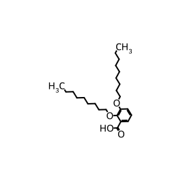 CCCCCCCCCOc1cccc(C(=O)O)c1OCCCCCCCCC